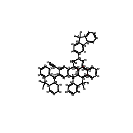 CC1(C)c2ccccc2-c2cc(C3N=C(c4ccccc4)N=C(c4cc(C#N)c(N5c6ccccc6C(C)(C)C6C=CC=CC65)cc4N4c5ccccc5C(C)(C)c5ccccc54)N3)ccc21